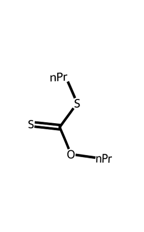 CCCOC(=S)SCCC